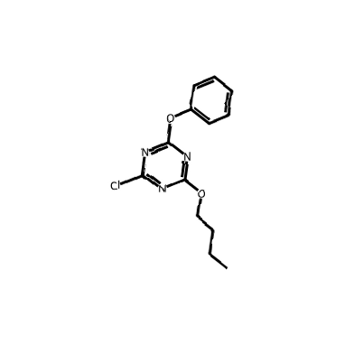 CCCCOc1nc(Cl)nc(Oc2ccccc2)n1